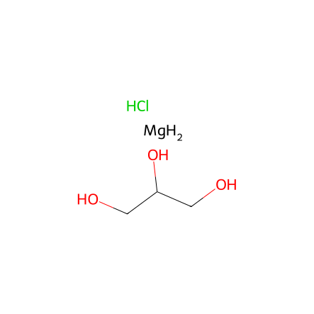 Cl.OCC(O)CO.[MgH2]